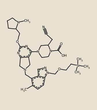 Cc1ccc2c(cnn2COCC[Si](C)(C)C)c1CN1Cc2nc(OCC3CCCN3C)nc(N3CCN(C(=O)O)C(CC#N)C3)c2C1